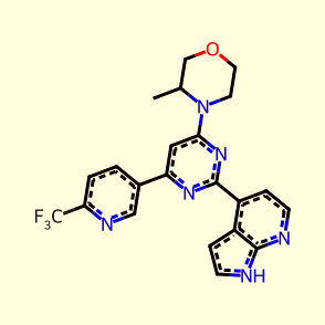 CC1COCCN1c1cc(-c2ccc(C(F)(F)F)nc2)nc(-c2ccnc3[nH]ccc23)n1